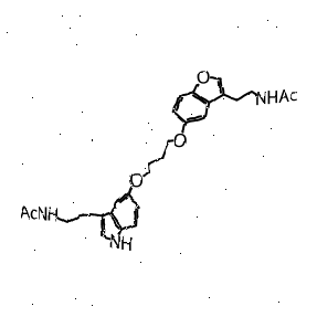 CC(=O)NCCc1c[nH]c2ccc(OCCCCOc3ccc4occ(CCNC(C)=O)c4c3)cc12